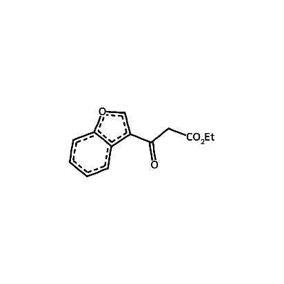 CCOC(=O)CC(=O)c1coc2ccccc12